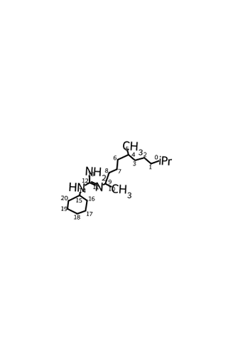 CC(C)CCCC(C)CCCC(C)N=C(N)NC1CCCCC1